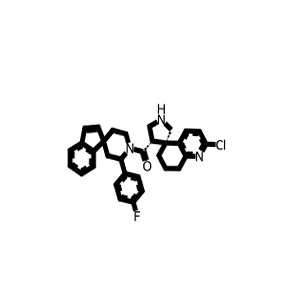 O=C([C@@H]1CNC[C@]12CCCc1nc(Cl)ccc12)N1CCC2(C=Cc3ccccc32)CC1c1ccc(F)cc1